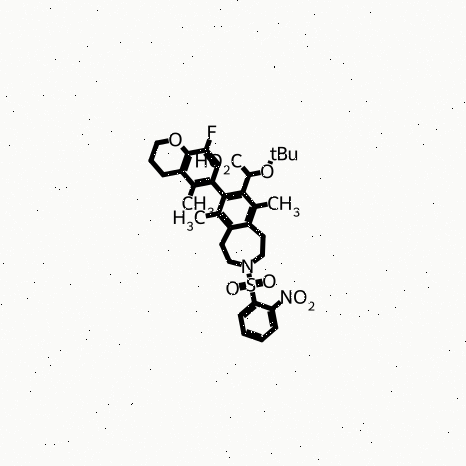 Cc1c(-c2c(C)c3c(c(C)c2C(OC(C)(C)C)C(=O)O)CCN(S(=O)(=O)c2ccccc2[N+](=O)[O-])CC3)cc(F)c2c1CCCO2